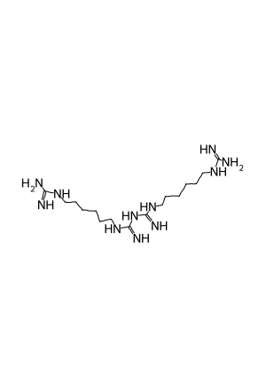 N=C(N)NCCCCCCNC(=N)NC(=N)NCCCCCCNC(=N)N